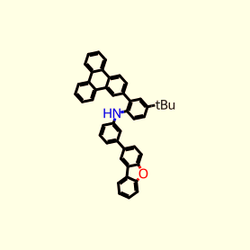 CC(C)(C)c1ccc(Nc2cccc(-c3ccc4oc5ccccc5c4c3)c2)c(-c2ccc3c4ccccc4c4ccccc4c3c2)c1